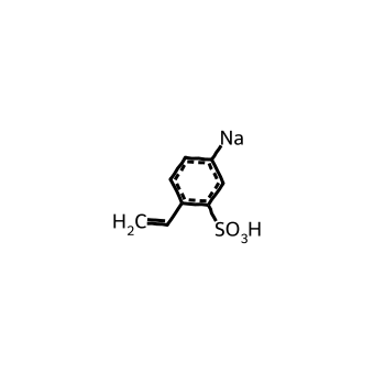 C=Cc1cc[c]([Na])cc1S(=O)(=O)O